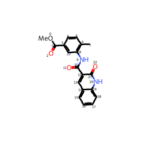 COC(=O)c1ccc(C)c(NC(=O)c2cc3ccccc3[nH]c2=O)c1